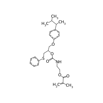 C=C(C)C(=O)OCCNC(=O)OC(COc1ccc(C(C)C(C)C)cc1)CSc1ccccc1